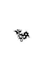 Cc1cn(C2=NCC(=O)N3CCc4c(C)cccc4C3=C2)c(C)n1